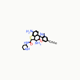 COc1ccc(C2(N)C(=O)C(N)C3c4c2ccc(N)c4SC3C(=O)NC2CCCNC2)c(C)c1